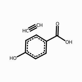 C#C.O=C(O)c1ccc(O)cc1